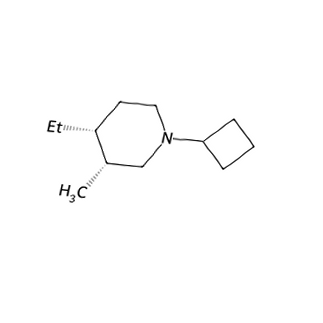 CC[C@@H]1CCN(C2CCC2)C[C@@H]1C